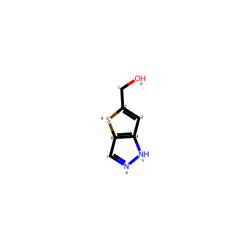 OCc1cc2[nH]ncc2s1